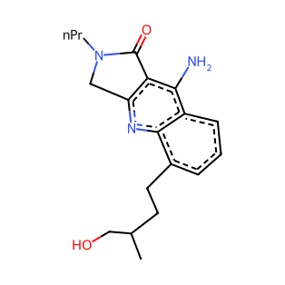 CCCN1Cc2nc3c(CCC(C)CO)cccc3c(N)c2C1=O